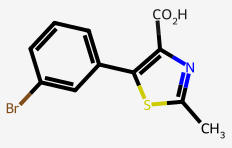 Cc1nc(C(=O)O)c(-c2cccc(Br)c2)s1